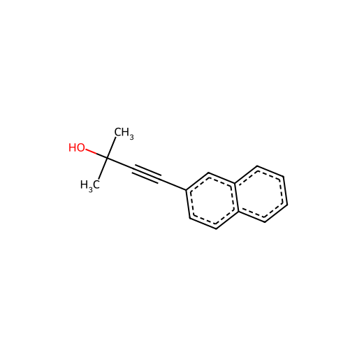 CC(C)(O)C#Cc1ccc2ccccc2c1